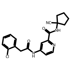 N#CC1(NC(=O)c2cc(NC(=O)Cc3ccccc3Cl)ccn2)CCCC1